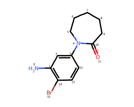 Nc1cc(N2CCCCCC2=O)ccc1Br